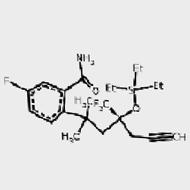 C#CC[C@](CC(C)(C)c1ccc(F)cc1C(N)=O)(O[Si](CC)(CC)CC)C(F)(F)F